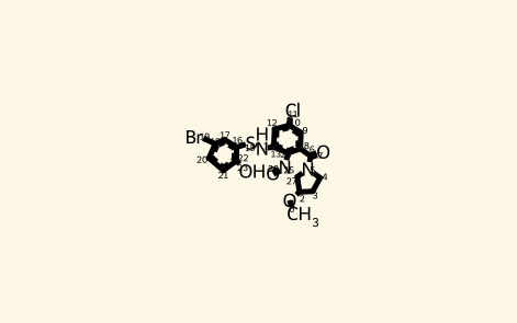 COC1CCN(C(=O)c2cc(Cl)cc(NSc3cc(Br)ccc3O)c2N=O)C1